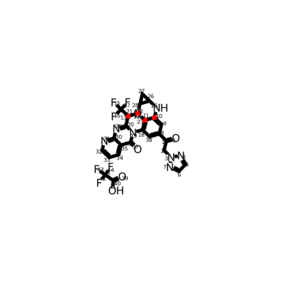 O=C(Cn1nccn1)c1ccc(OCC(F)(F)F)c(-n2c(CN3CCNC4CC43)nc3ncccc3c2=O)c1.O=C(O)C(F)(F)F